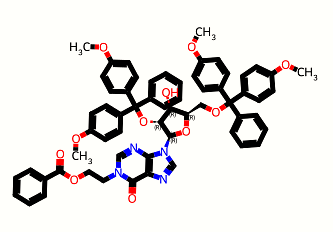 COc1ccc(C(OC[C@H]2O[C@@H](n3cnc4c(=O)n(CCOC(=O)c5ccccc5)cnc43)[C@H](OC(c3ccccc3)(c3ccc(OC)cc3)c3ccc(OC)cc3)[C@@H]2O)(c2ccccc2)c2ccc(OC)cc2)cc1